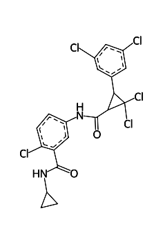 O=C(NC1CC1)c1cc(NC(=O)C2C(c3cc(Cl)cc(Cl)c3)C2(Cl)Cl)ccc1Cl